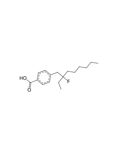 CCCCCCC(F)(CC)Cc1ccc(C(=O)O)cc1